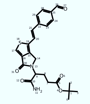 CC(C)(C)OC(=O)CCC(C(N)=O)N1Cc2c(csc2/C=C/c2ccc(C=O)cc2)C1=O